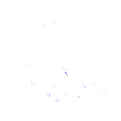 Cn1ccc([C@H](Nc2cc(-c3ccc4ccn(C)c4c3)c3nccnc3c2)c2cnnn2C)n1